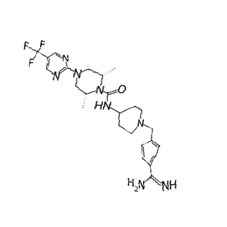 C[C@@H]1CN(c2ncc(C(F)(F)F)cn2)C[C@H](C)N1C(=O)NC1CCN(Cc2ccc(C(=N)N)cc2)CC1